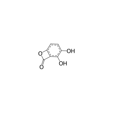 O=C1Oc2ccc(O)c(O)c21